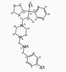 CCc1ccc(CNCN2CCN(CC(C)C(CC)(c3ccccc3)C3CCCC3)CC2)cc1